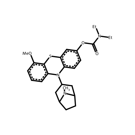 CCN(CC)C(=O)Oc1ccc2c(c1)Sc1c(OC)cccc1N2C1CC2CCC(C1)N2C